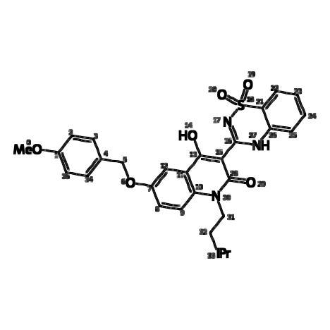 COc1ccc(COc2ccc3c(c2)c(O)c(C2=NS(=O)(=O)c4ccccc4N2)c(=O)n3CCC(C)C)cc1